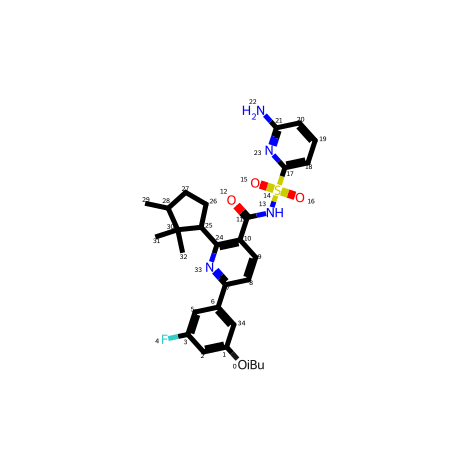 CC(C)COc1cc(F)cc(-c2ccc(C(=O)NS(=O)(=O)c3cccc(N)n3)c(C3CCC(C)C3(C)C)n2)c1